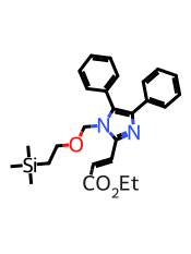 CCOC(=O)C=Cc1nc(-c2ccccc2)c(-c2ccccc2)n1COCC[Si](C)(C)C